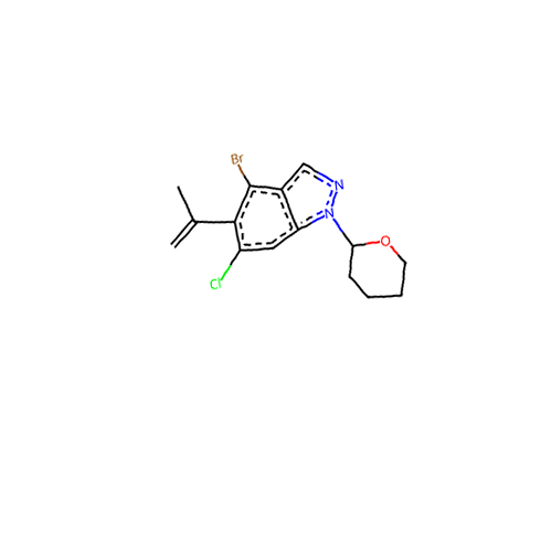 C=C(C)c1c(Cl)cc2c(cnn2C2CCCCO2)c1Br